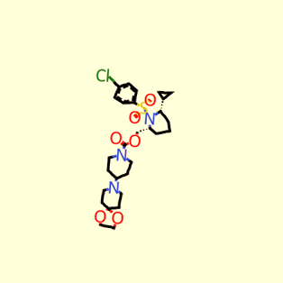 O=C(OC[C@H]1CCC[C@@H](C2CC2)N1S(=O)(=O)c1ccc(Cl)cc1)N1CCC(N2CCC3(CC2)OCCO3)CC1